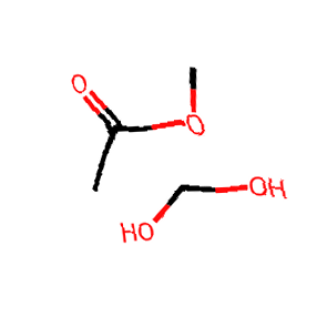 COC(C)=O.OCO